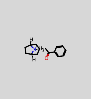 CN1[C@@H]2CC[C@H]1C[C@@H](CC(=O)c1ccccc1)C2